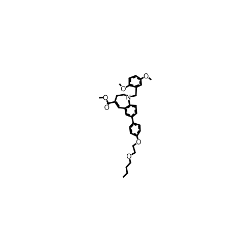 CCCCOCCOc1ccc(-c2ccc3c(c2)C=C(C(=O)OC)CCN3Cc2cc(OC)ccc2OC)cc1